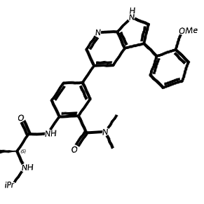 COc1ccccc1-c1c[nH]c2ncc(-c3ccc(NC(=O)[C@@H](NC(C)C)C(C)C)c(C(=O)N(C)C)c3)cc12